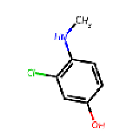 CNc1ccc(O)cc1Cl